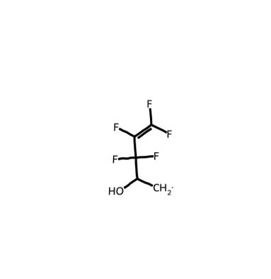 [CH2]C(O)C(F)(F)C(F)=C(F)F